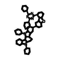 c1ccc(-c2nc(-c3ccccc3)nc(-c3cccc4oc5ccc(-c6ccc7c(c6)c6ccc8c(c9ccccc9n8-c8ccccc8)c6n7-c6ccccc6)cc5c34)n2)cc1